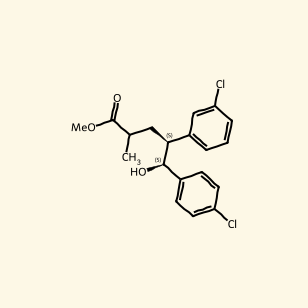 COC(=O)C(C)C[C@@H](c1cccc(Cl)c1)[C@H](O)c1ccc(Cl)cc1